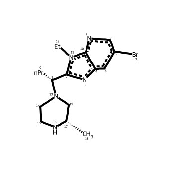 CCC[C@H](c1nc2cc(Br)cnc2n1CC)N1CCN[C@@H](C)C1